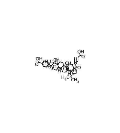 CC(C)[C@@H]1CC[C@]2(C(=O)NCCC(=O)O)CC[C@]3(C)[C@H](CC[C@@H]4[C@@]5(C)CCC(c6ccc(C(=O)O)cc6)C(C)(C)[C@@H]5CC[C@]43C)[C@@H]12